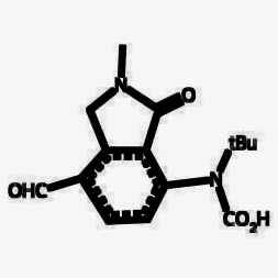 CN1Cc2c(C=O)ccc(N(C(=O)O)C(C)(C)C)c2C1=O